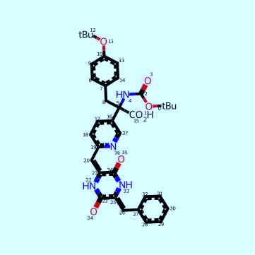 CC(C)(C)OC(=O)NC(Cc1ccc(OC(C)(C)C)cc1)(C(=O)O)c1ccc(C=c2[nH]c(=O)c(=Cc3ccccc3)[nH]c2=O)nc1